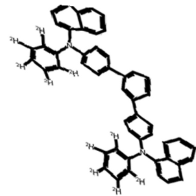 [2H]c1c([2H])c([2H])c(N(c2ccc(-c3cccc(-c4ccc(N(c5c([2H])c([2H])c([2H])c([2H])c5[2H])c5cccc6ccccc56)cc4)c3)cc2)c2cccc3ccccc23)c([2H])c1[2H]